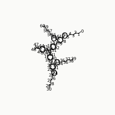 CCCCCCOc1ccc(-c2ccc(N(c3ccc(-c4ccc(OCCCCCC)cc4OCCCCCC)cc3)c3ccc(C(C)C)cc3)cc2)c(OCCCCCC)c1